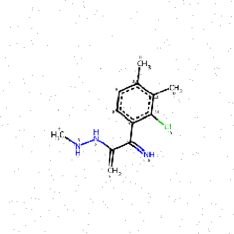 C=C(NNC)C(=N)c1ccc(C)c(C)c1Cl